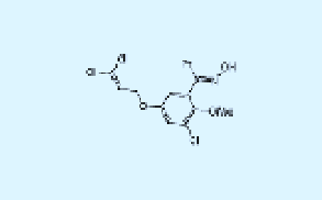 COc1c(Cl)cc(OCC=C(Cl)Cl)cc1C(=NO)C(C)C